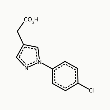 O=C(O)Cc1cnn(-c2ccc(Cl)cc2)c1